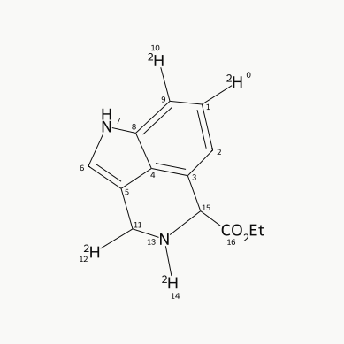 [2H]c1cc2c3c(c[nH]c3c1[2H])C([2H])N([2H])C2C(=O)OCC